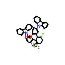 O=[N+]([O-])c1ccc(-n2c3ccccc3c3ccccc32)cc1C1=C(F)CCC(F)=C1c1cc(-n2c3ccccc3c3ccccc32)ccc1O